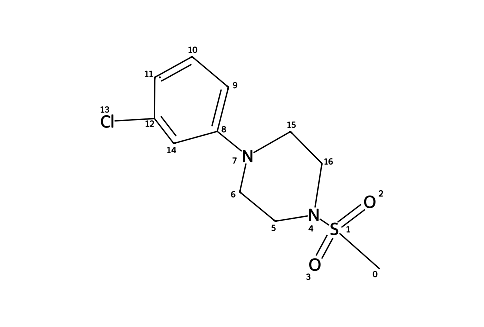 CS(=O)(=O)N1CCN(c2cc[c]c(Cl)c2)CC1